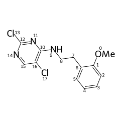 COc1ccccc1CCNc1nc(Cl)ncc1Cl